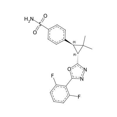 CC1(C)[C@H](c2ccc(S(N)(=O)=O)cc2)[C@H]1c1nnc(-c2c(F)cccc2F)o1